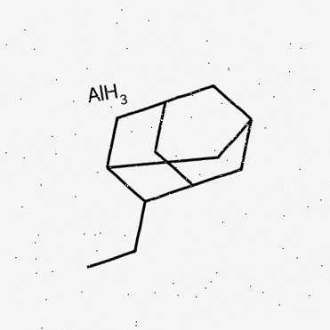 CCC1C2CC3CC(C2)CC1C3.[AlH3]